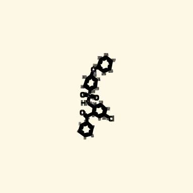 O=C(c1ccccc1)c1cc(Cl)ccc1NS(=O)(=O)c1ccc(Oc2ccccc2)cc1